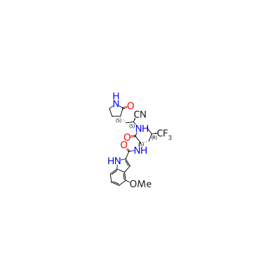 COc1cccc2[nH]c(C(=O)N[C@@H](C[C@@H](C)C(F)(F)F)C(=O)N[C@H](C#N)C[C@@H]3CCNC3=O)cc12